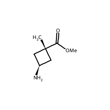 COC(=O)[C@]1(C)C[C@@H](N)C1